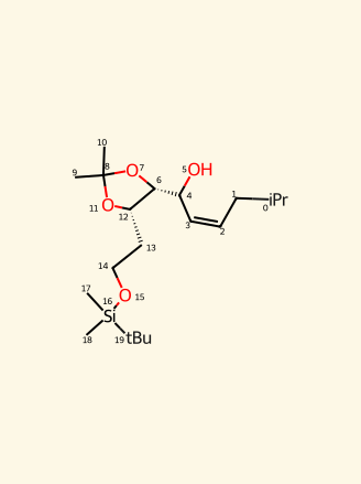 CC(C)C/C=C\C(O)[C@H]1OC(C)(C)O[C@H]1CCO[Si](C)(C)C(C)(C)C